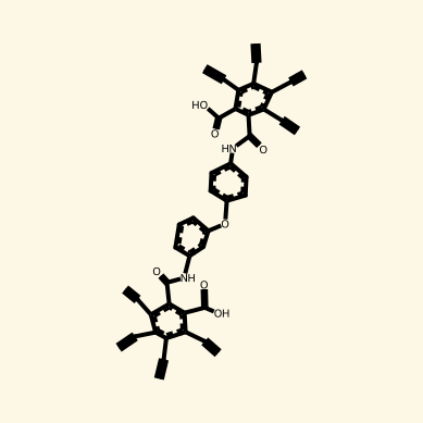 C#Cc1c(C#C)c(C#C)c(C(=O)Nc2ccc(Oc3cccc(NC(=O)c4c(C#C)c(C#C)c(C#C)c(C#C)c4C(=O)O)c3)cc2)c(C(=O)O)c1C#C